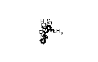 CCOC(=O)C(=Cc1ccc(OC)cc1OC)c1nc2ccccc2o1